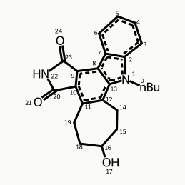 CCCCn1c2ccccc2c2c3c(c4c(c21)CCC(O)CC4)C(=O)NC3=O